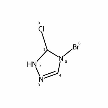 ClC1NN=CN1Br